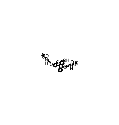 CC(C)(C)OC(=O)NCCCOC(=O)c1ccccc1C1=C2C=CC(O)C=C2Oc2cc(OCCCNC(=O)OC(C)(C)C)ccc21